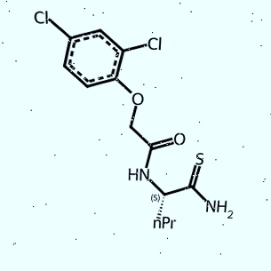 CCC[C@H](NC(=O)COc1ccc(Cl)cc1Cl)C(N)=S